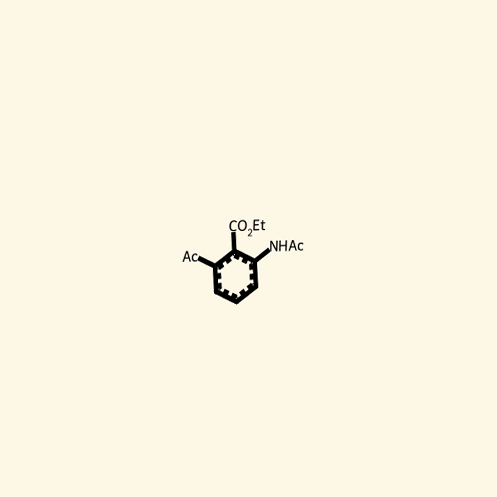 CCOC(=O)c1c(NC(C)=O)cccc1C(C)=O